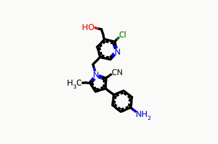 Cc1cc(-c2ccc(N)cc2)c(C#N)n1Cc1cnc(Cl)c(CO)c1